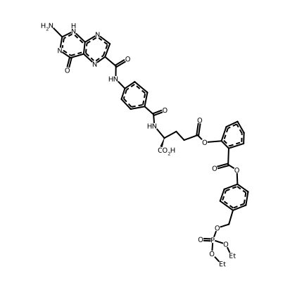 CCOP(=O)(OCC)OCc1ccc(OC(=O)c2ccccc2OC(=O)CC[C@H](NC(=O)c2ccc(NC(=O)c3cnc4[nH]c(N)nc(=O)c4n3)cc2)C(=O)O)cc1